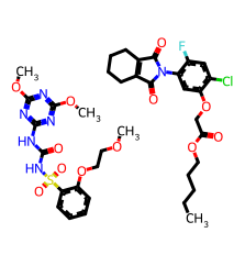 CCCCCOC(=O)COc1cc(N2C(=O)C3=C(CCCC3)C2=O)c(F)cc1Cl.COCCOc1ccccc1S(=O)(=O)NC(=O)Nc1nc(OC)nc(OC)n1